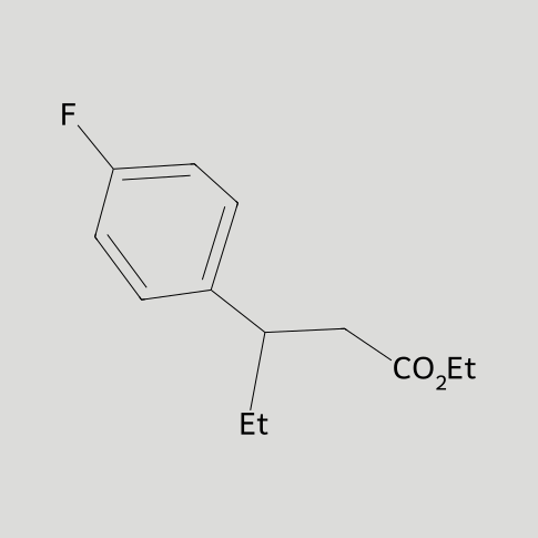 CCOC(=O)CC(CC)c1ccc(F)cc1